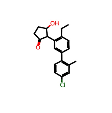 CCc1ccc(-c2ccc(Cl)cc2C)cc1C1C(=O)CCC1O